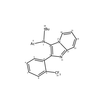 CC(=O)N(c1c(-c2ccccc2C(F)(F)F)nc2ccccn12)C(C)(C)C